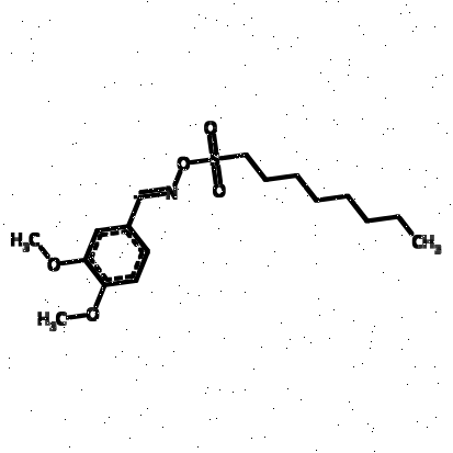 CCCCCCCCS(=O)(=O)ON=[C]c1ccc(OC)c(OC)c1